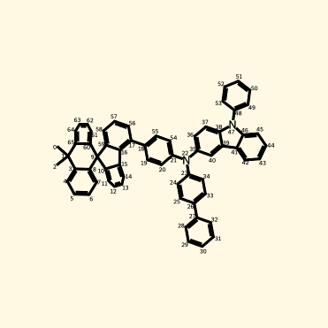 CC1(C)c2ccccc2C2(c3ccccc3-c3c(-c4ccc(N(c5ccc(-c6ccccc6)cc5)c5ccc6c(c5)c5ccccc5n6-c5ccccc5)cc4)cccc32)c2ccccc21